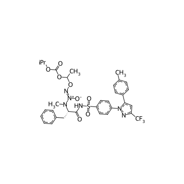 Cc1ccc(-c2cc(C(F)(F)F)nn2-c2ccc(S(=O)(=O)NC(=O)[C@H](Cc3ccccc3)N(C)/[N+]([O-])=N/OC(C)OC(=O)OC(C)C)cc2)cc1